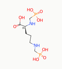 O=C(O)[C@H](CCCNCP(=O)(O)O)NCP(=O)(O)O